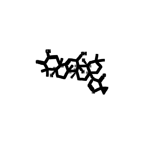 CC1(C)CC[C@]2(N3C=NC4(CC4)C3=O)CC[C@]3(C)[C@H](C(O)C=C4[C@@]5(C)C=C(C#N)C(=O)C(C)(C)[C@@H]5CC[C@]43C)[C@H]2C1